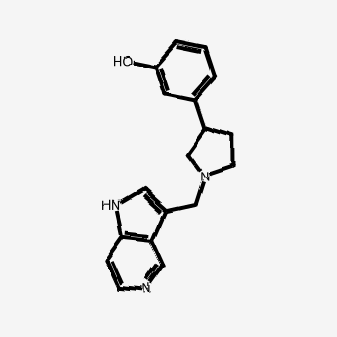 Oc1cccc(C2CCN(Cc3c[nH]c4ccncc34)C2)c1